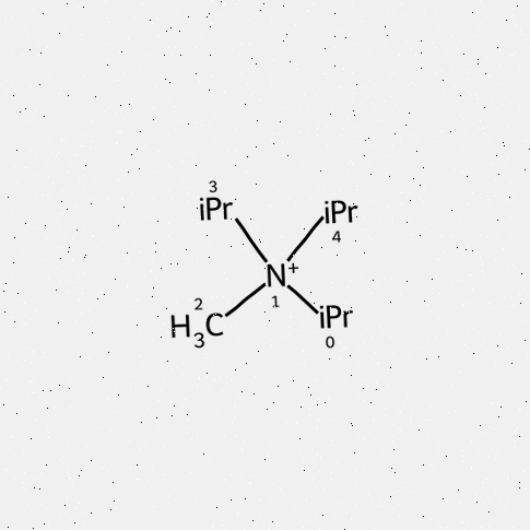 CC(C)[N+](C)(C(C)C)C(C)C